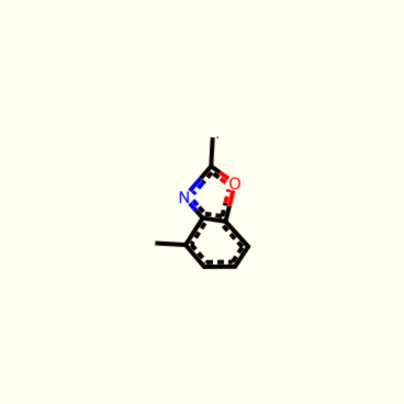 [CH2]c1nc2c(C)cccc2o1